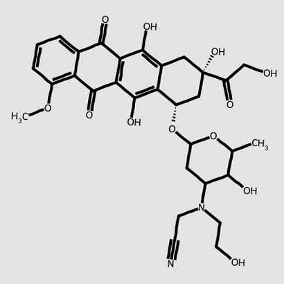 COc1cccc2c1C(=O)c1c(O)c3c(c(O)c1C2=O)C[C@@](O)(C(=O)CO)C[C@@H]3OC1CC(N(CC#N)CCO)C(O)C(C)O1